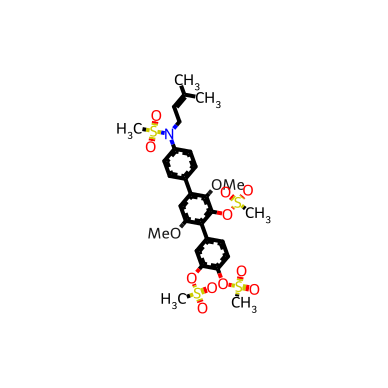 COc1cc(-c2ccc(N(CC=C(C)C)S(C)(=O)=O)cc2)c(OC)c(OS(C)(=O)=O)c1-c1ccc(OS(C)(=O)=O)c(OS(C)(=O)=O)c1